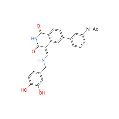 CC(=O)Nc1cccc(-c2ccc3c(c2)C(=CNCc2ccc(O)c(O)c2)C(=O)NC3=O)c1